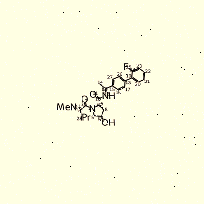 CN[C@H](C(=O)N1C[C@H](O)C[C@H]1C(=O)N[C@@H](C)c1ccc(-c2ccccc2F)cc1)C(C)C